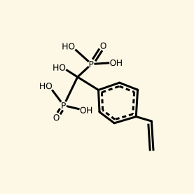 C=Cc1ccc(C(O)(P(=O)(O)O)P(=O)(O)O)cc1